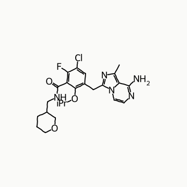 Cc1nc(Cc2cc(Cl)c(F)c(C(=O)NCC3CCCOC3)c2OC(C)C)n2ccnc(N)c12